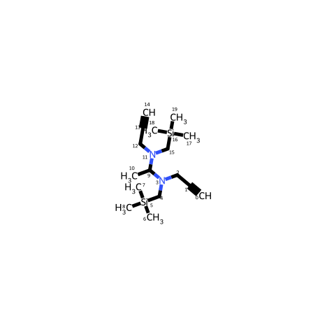 C#CCN(C[Si](C)(C)C)C(C)N(CC#C)C[Si](C)(C)C